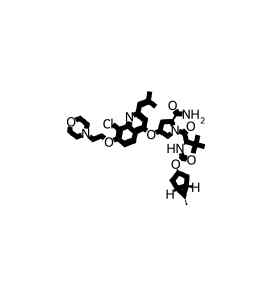 CC(C)=Cc1cc(OC2C[C@@H](C(N)=O)N(C(=O)[C@@H](NC(=O)O[C@@H]3C[C@@H]4[C@H](C)[C@@H]4C3)C(C)(C)C)C2)c2ccc(OCCN3CCOCC3)c(Cl)c2n1